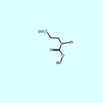 CCCN(CCC(=O)OCC)C(=O)OC(C)(C)C